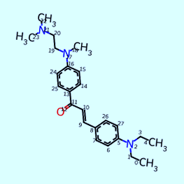 CCN(CC)c1ccc(C=CC(=O)c2ccc(N(C)CCN(C)C)cc2)cc1